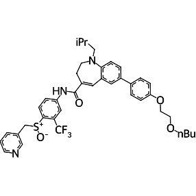 CCCCOCCOc1ccc(-c2ccc3c(c2)C=C(C(=O)Nc2ccc([S+]([O-])Cc4cccnc4)c(C(F)(F)F)c2)CCN3CC(C)C)cc1